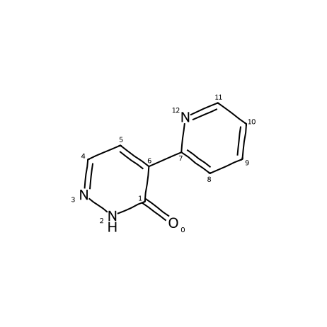 O=c1[nH]nccc1-c1ccccn1